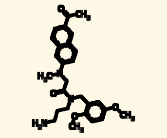 COc1ccc(OC)c(CN(CCCN)C(=O)CN(C)c2ccc3cc(C(C)=O)ccc3c2)c1